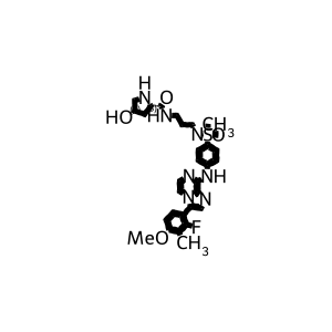 COc1ccc(-c2cnc3c(Nc4ccc(S(C)(=O)=NCCCNC(=O)[C@@H]5C[C@@H](O)CN5)cc4)nccn23)c(F)c1C